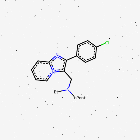 CCCCCN(CC)Cc1c(-c2ccc(Cl)cc2)nc2ccccn12